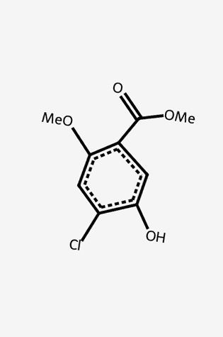 COC(=O)c1cc(O)c(Cl)cc1OC